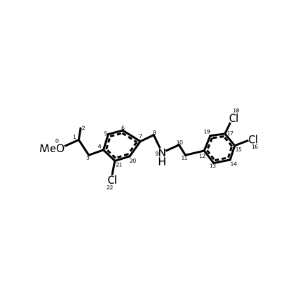 COC(C)Cc1ccc(CNCCc2ccc(Cl)c(Cl)c2)cc1Cl